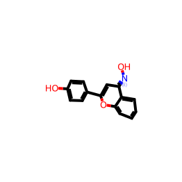 O/N=c1\cc(-c2ccc(O)cc2)oc2ccccc12